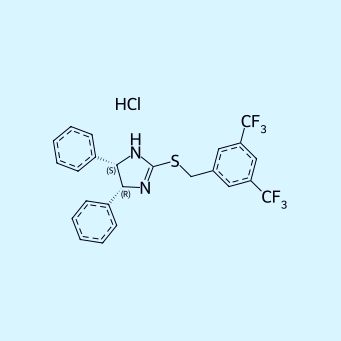 Cl.FC(F)(F)c1cc(CSC2=N[C@H](c3ccccc3)[C@H](c3ccccc3)N2)cc(C(F)(F)F)c1